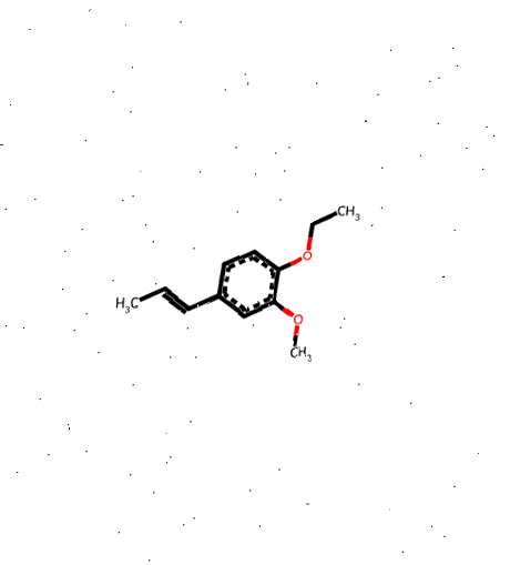 C/C=C/c1ccc(OCC)c(OC)c1